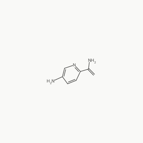 C=C(N)c1ccc(N)cn1